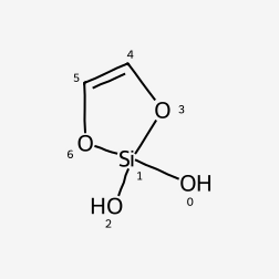 O[Si]1(O)OC=CO1